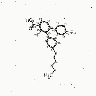 CCCCCCc1ccc(-c2c(-c3ccc(F)cc3)ccc(C(=O)O)c2F)cc1